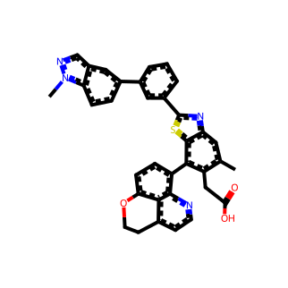 Cc1cc2nc(-c3cccc(-c4ccc5c(cnn5C)c4)c3)sc2c(-c2ccc3c4c(ccnc24)CCO3)c1CC(=O)O